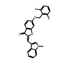 Cn1cc(/C=C2\Oc3cc(OCc4c(F)cccc4F)ccc3C2=O)c2ccccc21